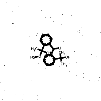 CC(C)(O)c1ccccc1C(Cl)c1ccccc1C(C)(C)OS